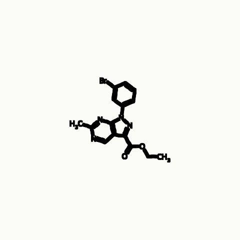 CCOC(=O)c1nn(-c2cccc(Br)c2)c2nc(C)ncc12